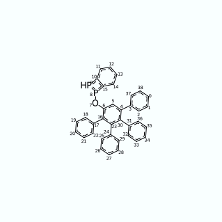 c1ccc(-c2cc(Op3[pH]c4ccccc43)c(-c3ccccc3)c(-c3ccccc3)c2-c2ccccc2)cc1